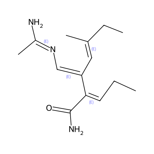 CC/C=C(/C(N)=O)C(=C/N=C(\C)N)/C=C(\C)CC